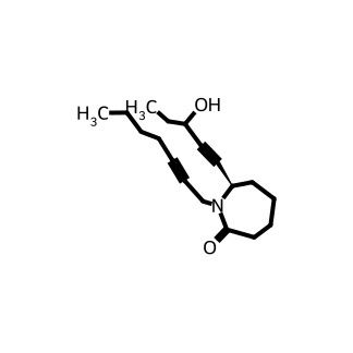 CCCCC#CCN1C(=O)CCCC[C@@H]1C#CC(O)CC